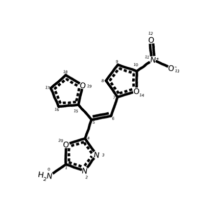 Nc1nnc(/C(=C/c2ccc([N+](=O)[O-])o2)c2ccco2)o1